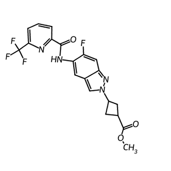 COC(=O)C1CC(n2cc3cc(NC(=O)c4cccc(C(F)(F)F)n4)c(F)cc3n2)C1